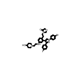 O=C1COCN1CCc1ccc(NCCN2CCC(O)CC2)cc1-c1cn(-c2ccc(Br)cc2)nc1-c1ccc(F)cc1